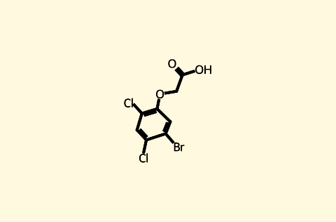 O=C(O)COc1cc(Br)c(Cl)cc1Cl